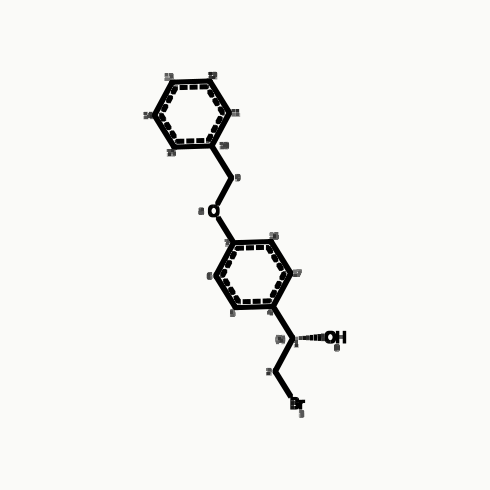 O[C@H](CBr)c1ccc(OCc2ccccc2)cc1